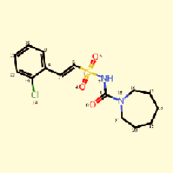 O=C(NS(=O)(=O)/C=C/c1ccccc1Cl)N1CCCCCC1